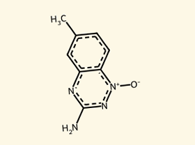 Cc1ccc2c(c1)nc(N)n[n+]2[O-]